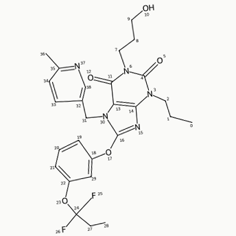 CCCn1c(=O)n(CCCO)c(=O)c2c1nc(Oc1cccc(OC(F)(F)CC)c1)n2Cc1ccc(C)nc1